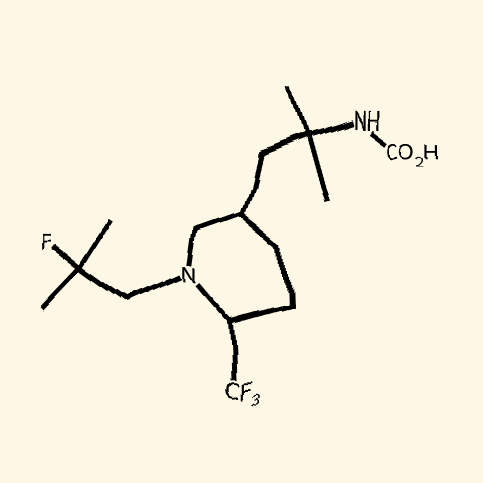 CC(C)(F)CN1CC(CC(C)(C)NC(=O)O)CCC1C(F)(F)F